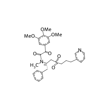 COc1cc(C(=O)C(=O)N(C)[C@@H](Cc2ccccc2)CS(=O)(=O)CCCc2cccnc2)cc(OC)c1OC